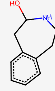 OC1Cc2ccccc2CCN1